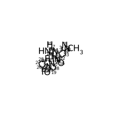 Cn1ncc2c(N3C[C@@H]4C[C@H]3CN4)c(NC(=O)c3ccc(=O)n(-c4c(F)cccc4F)n3)ccc21